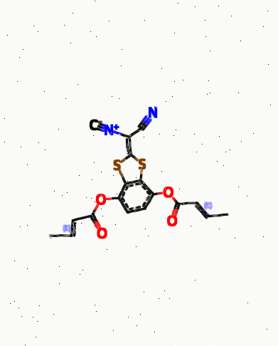 [C-]#[N+]C(C#N)=C1Sc2c(OC(=O)/C=C/C)ccc(OC(=O)/C=C/C)c2S1